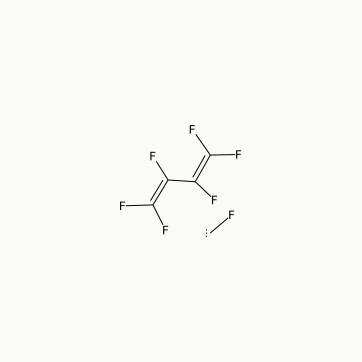 FC(F)=C(F)C(F)=C(F)F.[C]F